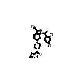 CC(c1ccc(Cl)cc1Cl)n1nc(C#N)c2ccc(N3CCN(C(=O)C4CCN4)CC3)cc21